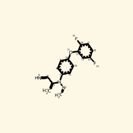 C=NN(C(=C)C=N)c1ccc(Oc2cc(F)ccc2F)cc1